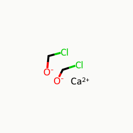 [Ca+2].[O-]CCl.[O-]CCl